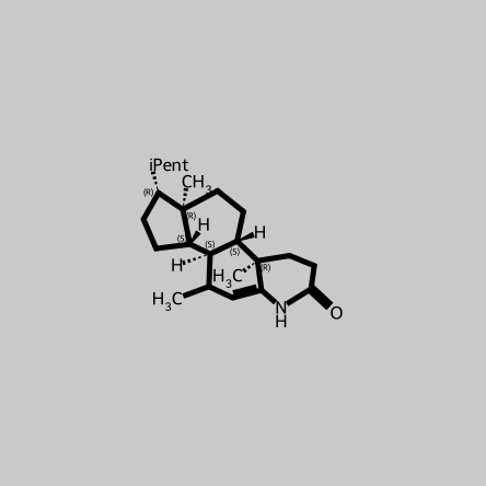 CCCC(C)[C@H]1CC[C@H]2[C@@H]3C(C)C=C4NC(=O)CC[C@]4(C)[C@H]3CC[C@]12C